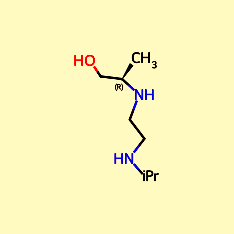 CC(C)NCCN[C@H](C)CO